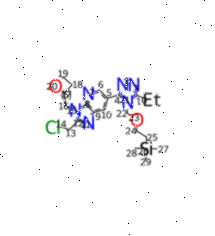 CCc1nnc(-c2cnc3c(c2)nc(CCl)n3C[C@@H]2CCO2)n1COCC[Si](C)(C)C